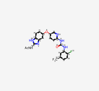 CC(=O)Nc1nc2cc(Oc3ccc(NC(=O)Nc4cc(C(F)(F)F)ccc4F)nc3)ccc2[nH]1